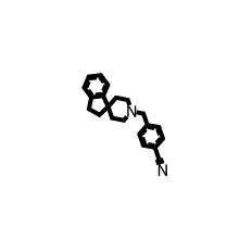 N#Cc1ccc(CN2CCC3(CCc4ccccc43)CC2)cc1